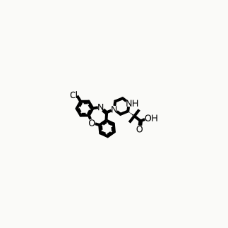 CC(C)(C(=O)O)[C@@H]1CN(C2=Nc3cc(Cl)ccc3Oc3ccccc32)CCN1